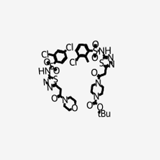 Cc1c(Cl)cccc1S(=O)(=O)Nc1nnc(CC(=O)N2CCN(C(=O)OC(C)(C)C)CC2)s1.O=C(Cc1nnc(NS(=O)(=O)c2ccc(Cl)cc2Cl)s1)N1CCOCC1